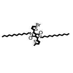 CCCCCCCCCCCCN1C(=O)C2=C(c3ccc(Br)s3)N(CCCCCCCCCCCC)C(=O)C2=C1c1ccc(C)s1